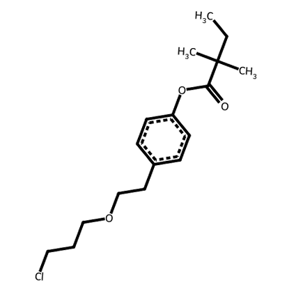 CCC(C)(C)C(=O)Oc1ccc(CCOCCCCl)cc1